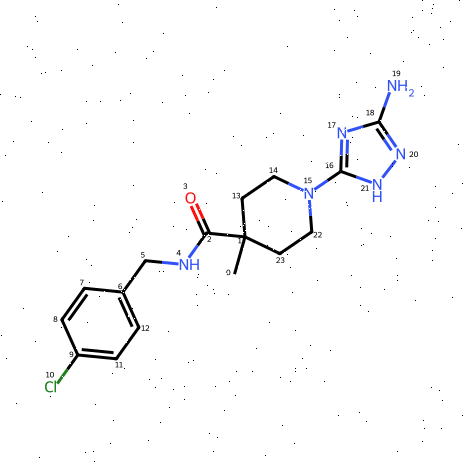 CC1(C(=O)NCc2ccc(Cl)cc2)CCN(c2nc(N)n[nH]2)CC1